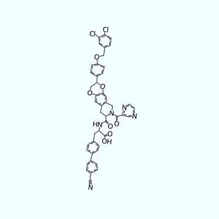 N#Cc1ccc(-c2ccc(CC(NC(=O)C3Cc4cc5c(cc4CN3C(=O)c3cnccn3)OC(c3ccc(OCc4ccc(Cl)c(Cl)c4)cc3)CO5)C(=O)O)cc2)cc1